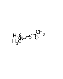 CC(=O)CSCCN(C)C